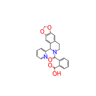 O=C(O)c1ccccc1C(=O)N1CCc2cc3c(cc2C1c1ccccn1)OCO3